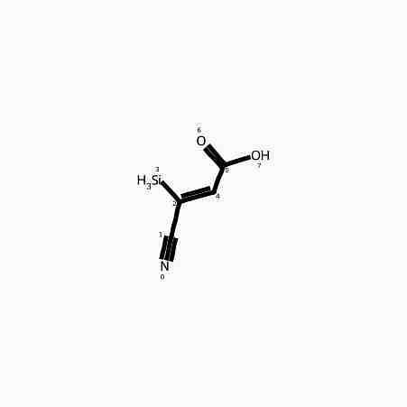 N#CC([SiH3])=CC(=O)O